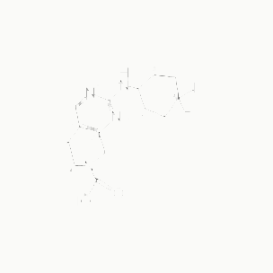 O=C(O)N1CCc2cnc(NC3CCC(F)(F)CC3)nc2C1